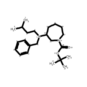 CC(C)CCN(Cc1ccccc1)C1CCCCN(C(=O)OC(C)(C)C)C1